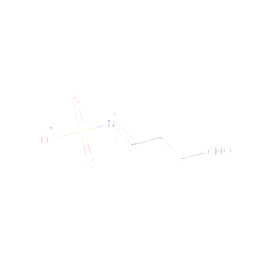 O=[C]CC/[C]=N/S(=O)(=O)O